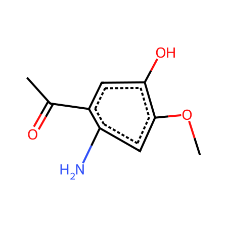 COc1cc(N)c(C(C)=O)cc1O